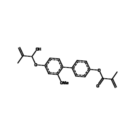 C=C(C)C(=O)Oc1ccc(-c2ccc(OC(O)C(=C)C)cc2OC)cc1